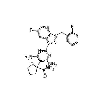 NC(=O)C1(c2c(N)nc(-c3nn(Cc4ccccc4F)c4ncc(F)cc34)nc2N)CCCO1